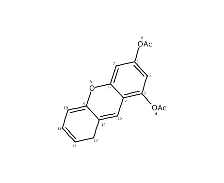 CC(=O)Oc1cc(OC(C)=O)c2c(c1)OC1=CC=CCC1=C2